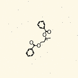 C[C@@H](CCOC(=O)c1ccccc1)OC(=O)c1ccccc1